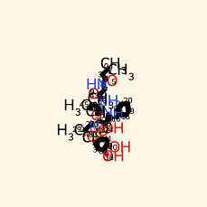 CC(C)CC(=O)NCC(=O)N[C@H](C(=O)N[C@@H](Cc1ccccc1)[C@H](O)CN(CC(C)C)S(=O)(=O)c1ccc(O)c(O)c1)C(C)(C)C